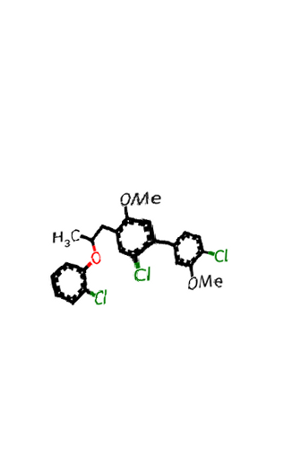 COc1cc(-c2cc(OC)c(CC(C)Oc3ccccc3Cl)cc2Cl)ccc1Cl